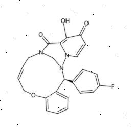 O=C1c2c(O)c(=O)ccn2N2CN1C/C=C\COc1ccccc1[C@@H]2c1ccc(F)cc1